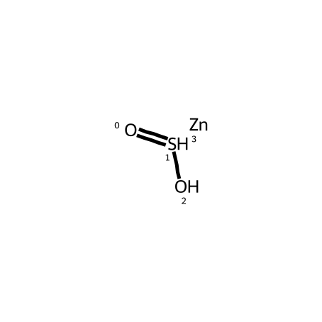 O=[SH]O.[Zn]